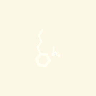 CCCCc1ccccc1.CN